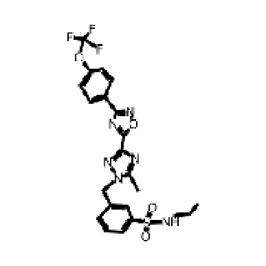 CCCNS(=O)(=O)c1cccc(Cn2nc(-c3nc(-c4ccc(OC(F)(F)F)cc4)no3)nc2C)c1